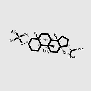 COC(OC)[C@H]1CC[C@H]2[C@@H]3CC[C@H]4C[C@@H](O[Si](C)(C)C(C)(C)C)CC[C@]4(C)[C@H]3CC[C@]12C